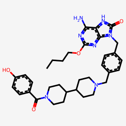 CCCCOc1nc(N)c2[nH]c(=O)n(Cc3ccc(CN4CCC(C5CCN(C(=O)c6ccc(O)cc6)CC5)CC4)cc3)c2n1